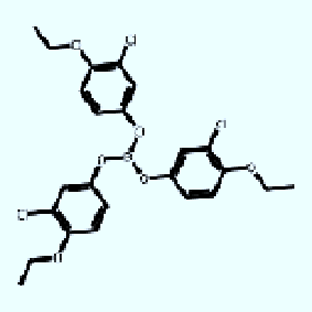 CCOc1ccc(OB(Oc2ccc(OCC)c(Cl)c2)Oc2ccc(OCC)c(Cl)c2)cc1Cl